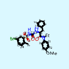 CCN(C(=O)C(Cc1ccccc1)NC(=O)NS(=O)(=O)c1cc(Br)ccc1C)c1ccc(OC)cc1